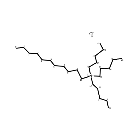 CCCCCCCCCCC[N+](CCCCC)(CCCCC)CCCCC.[Cl-]